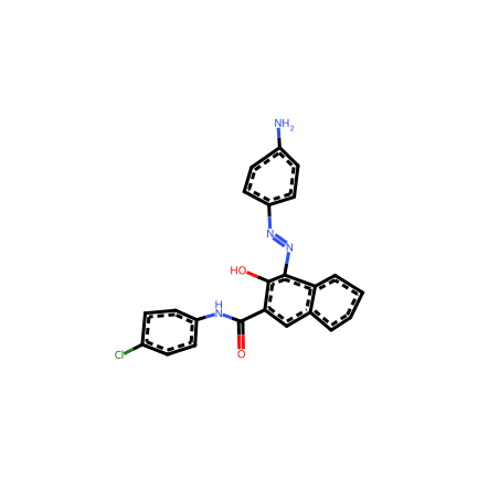 Nc1ccc(N=Nc2c(O)c(C(=O)Nc3ccc(Cl)cc3)cc3ccccc23)cc1